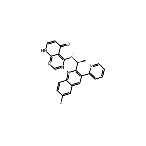 C[C@H](Nc1ncnc2[nH]ccc(=O)c12)c1nc2ccc(F)cc2cc1-c1ccccn1